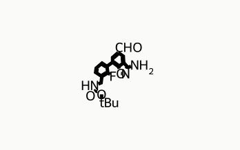 CC(C)(C)OC(=O)NCc1cccc(-c2cc(C=O)cc3c(N)noc23)c1F